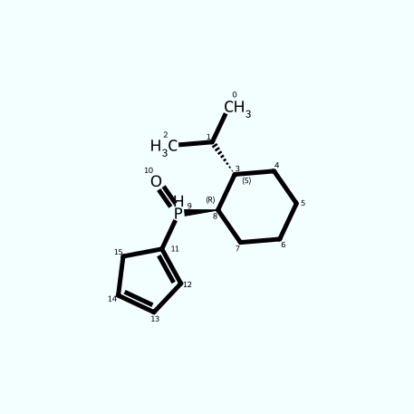 CC(C)[C@@H]1CCCC[C@H]1[PH](=O)C1=CC=CC1